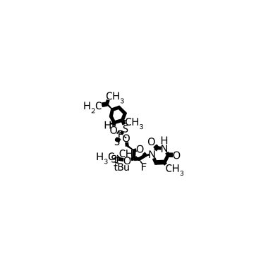 C=C(C)[C@H]1CC[C@@]2(C)S[P@](=S)(OC[C@H]3O[C@@H](n4cc(C)c(=O)[nH]c4=O)[C@H](F)C3O[Si](C)(C)C(C)(C)C)O[C@@H]2C1